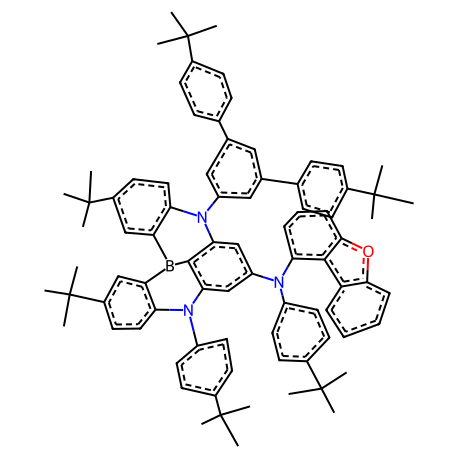 CC(C)(C)c1ccc(-c2cc(-c3ccc(C(C)(C)C)cc3)cc(N3c4ccc(C(C)(C)C)cc4B4c5cc(C(C)(C)C)ccc5N(c5ccc(C(C)(C)C)cc5)c5cc(N(c6ccc(C(C)(C)C)cc6)c6cccc7oc8ccccc8c67)cc3c54)c2)cc1